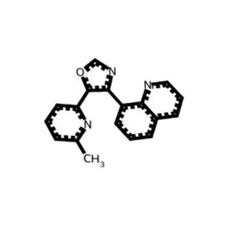 Cc1cccc(-c2ocnc2-c2cccc3cccnc23)n1